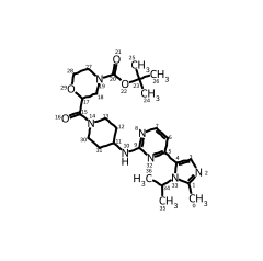 Cc1ncc(-c2ccnc(NC3CCN(C(=O)C4CN(C(=O)OC(C)(C)C)CCO4)CC3)n2)n1C(C)C